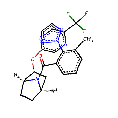 Cc1cccc(C(=O)N2[C@@H]3CC[C@H]2[C@H](Oc2cnc(C(F)(F)F)cn2)C3)c1-n1nccn1